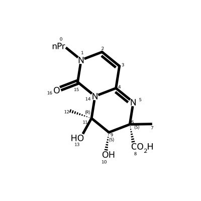 CCCN1C=CC2=N[C@](C)(C(=O)O)[C@H](O)[C@@](C)(O)N2C1=O